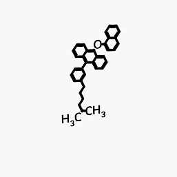 CC(C)CCCCc1cccc(-c2c3ccccc3c(Oc3cccc4ccccc34)c3ccccc23)c1